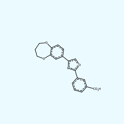 O=C(O)c1cccc(-c2nc(-c3ccc4c(c3)OCCCO4)co2)c1